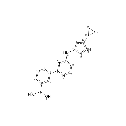 CC(O)c1cccc(-c2nccc(Nc3cc(C4CC4)[nH]n3)n2)c1